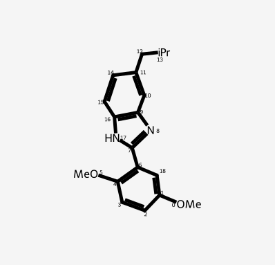 COc1ccc(OC)c(-c2nc3cc(CC(C)C)ccc3[nH]2)c1